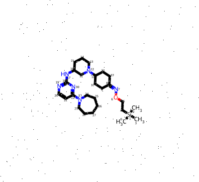 C[Si](C)(C)CCON=C1CCC(N2CCCC(Nc3nccc(N4CCCCCC4)n3)C2)CC1